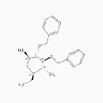 CC[C@H]1C[C@@H](C)[C@H](OCc2ccccc2)[C@@H](OCc2ccccc2)[C@@H]1C